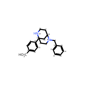 O=C(O)c1ccc(C23CCN(Cc4ccccc4)C(CCN2)C3)cc1